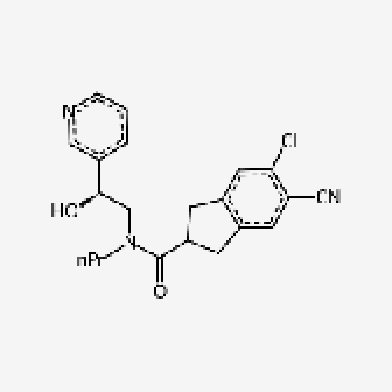 CCCN(C[C@@H](O)c1cccnc1)C(=O)C1Cc2cc(Cl)c(C#N)cc2C1